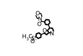 C[S+]([O-])c1ccc(-c2cc3nccc(-c4cccc(C(=O)N5CCOCC5)c4)c3o2)cc1